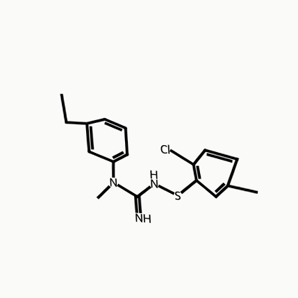 CCc1cccc(N(C)C(=N)NSc2cc(C)ccc2Cl)c1